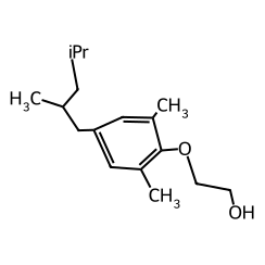 Cc1cc(CC(C)CC(C)C)cc(C)c1OCCO